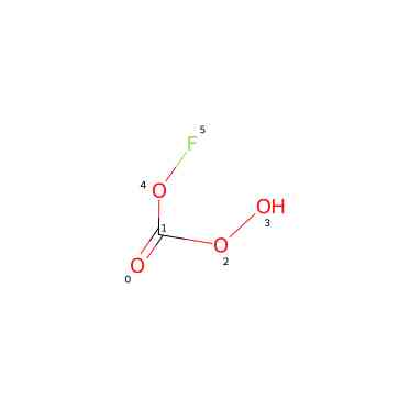 O=C(OO)OF